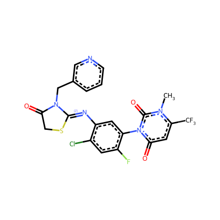 Cn1c(C(F)(F)F)cc(=O)n(-c2cc(/N=C3\SCC(=O)N3Cc3cccnc3)c(Cl)cc2F)c1=O